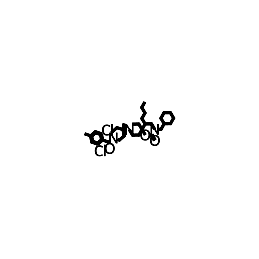 CCCCC1CN(CC2CCCCC2)C(=O)OC12CCN(C1(C)CCN(C(=O)c3c(Cl)cc(C)cc3Cl)CC1)CC2